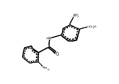 Nc1ccccc1C(=O)Nc1ccc(S(=O)(=O)O)c(N)c1